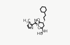 Cn1ccnc1-c1noc([C@H](CCCC2CCCCC2)CC(=O)NO)n1